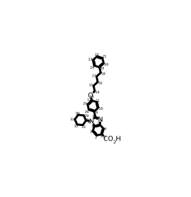 O=C(O)c1ccc2c(c1)nc(-c1ccc(OCCCCCc3ccccc3)cc1)n2C1CCCCC1